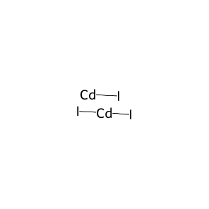 [Cd][I].[I][Cd][I]